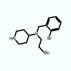 CCC(C)CCN(Cc1ccccc1Br)C1CCNCC1